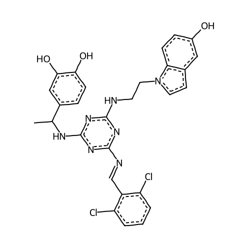 CC(Nc1nc(N=Cc2c(Cl)cccc2Cl)nc(NCCn2ccc3cc(O)ccc32)n1)c1ccc(O)c(O)c1